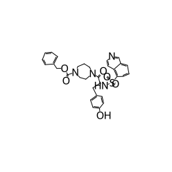 O=C(OCc1ccccc1)N1CCCN(C(=O)C(Cc2ccc(O)cc2)NS(=O)(=O)c2cccc3cnccc23)CC1